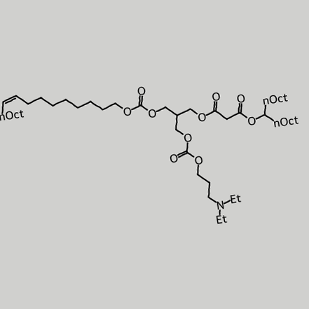 CCCCCCCC/C=C\CCCCCCCCOC(=O)OCC(COC(=O)CC(=O)OC(CCCCCCCC)CCCCCCCC)COC(=O)OCCCN(CC)CC